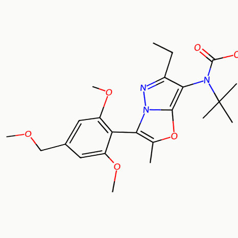 CCc1nn2c(-c3c(OC)cc(COC)cc3OC)c(C)oc2c1N(C(=O)O)C(C)(C)C